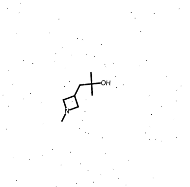 CN1CC(CC(C)(C)O)C1